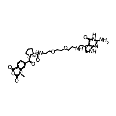 Cn1c(=O)oc(=O)c2ccc(C(=O)N3CCC[C@H]3C(=O)NCCOCCOCCNCc3c[nH]c4nc(N)[nH]c(=O)c34)cc21